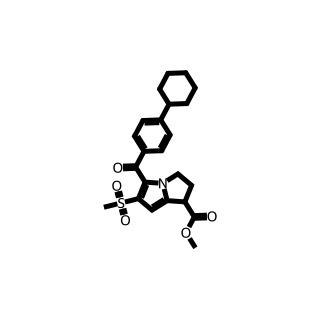 COC(=O)C1CCn2c1cc(S(C)(=O)=O)c2C(=O)c1ccc(C2CCCCC2)cc1